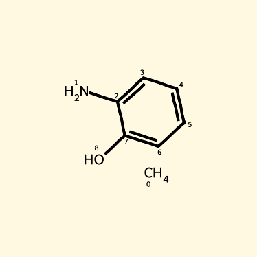 C.Nc1ccccc1O